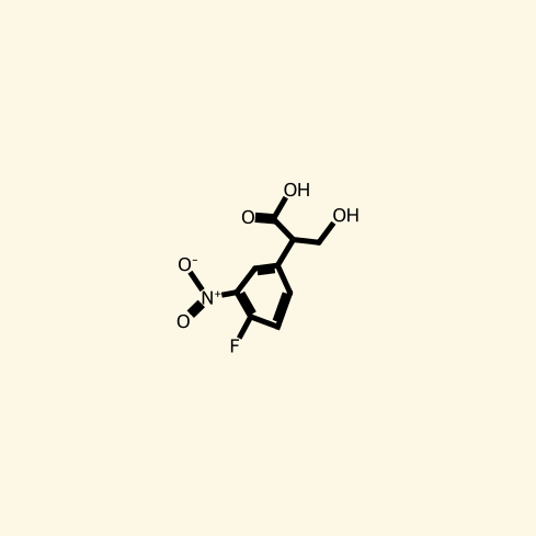 O=C(O)C(CO)c1ccc(F)c([N+](=O)[O-])c1